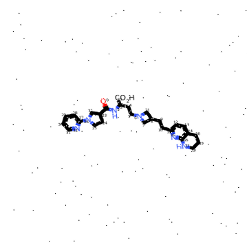 O=C(NC(CCN1CC(CCc2ccc3c(n2)NCCC3)C1)C(=O)O)C1CCN(c2ccccn2)C1